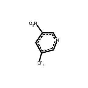 O=[N+]([O-])c1cncc(C(F)(F)F)c1